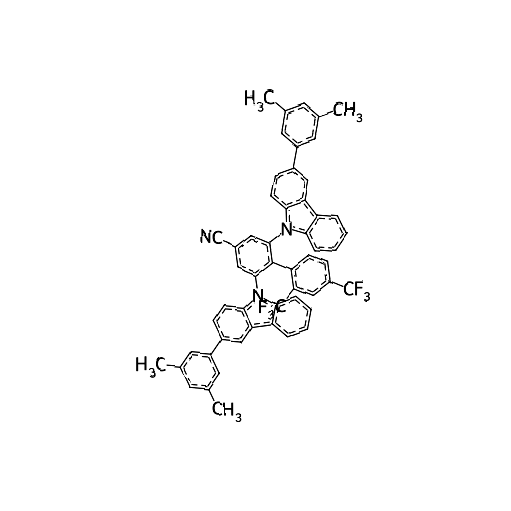 Cc1cc(C)cc(-c2ccc3c(c2)c2ccccc2n3-c2cc(C#N)cc(-n3c4ccccc4c4cc(-c5cc(C)cc(C)c5)ccc43)c2-c2ccc(C(F)(F)F)cc2C(F)(F)F)c1